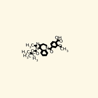 COc1cc(C(=O)N2CCc3nc(C)n(C(=O)OC(C)(C)C)c3-c3ccccc32)ccc1C(=O)O